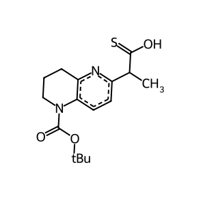 CC(C(O)=S)c1ccc2c(n1)CCCN2C(=O)OC(C)(C)C